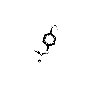 O=[N+]([O-])c1ccc(O[SH](=O)=O)cc1